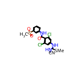 CSC(NC#N)Nc1cc(Cl)c(C(=O)Nc2cccc(S(C)(=O)=O)c2)c(Cl)c1